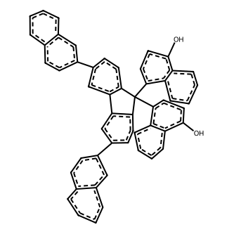 Oc1ccc(C2(c3ccc(O)c4ccccc34)c3ccc(-c4ccc5ccccc5c4)cc3-c3cc(-c4ccc5ccccc5c4)ccc32)c2ccccc12